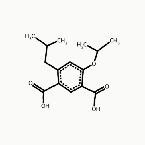 CC(C)Cc1cc(OC(C)C)c(C(=O)O)cc1C(=O)O